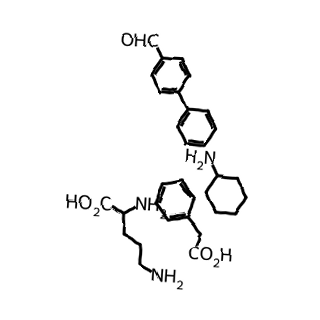 NC1CCCCC1.NCCCC(N)C(=O)O.O=C(O)Cc1ccccc1.O=Cc1ccc(-c2ccccc2)cc1